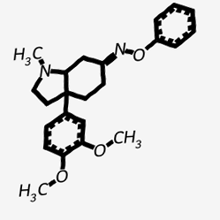 COc1ccc(C23CCC(=NOc4ccccc4)CC2N(C)CC3)cc1OC